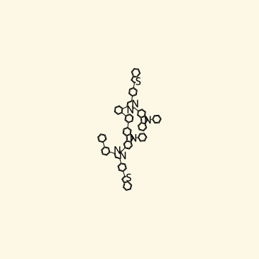 c1ccc(-c2cccc(-c3cc(-c4ccc(-c5cc6ccccc6s5)cc4)nc(-c4ccc5c(c4)c4ccc(-c6cccc(-c7ccccc7-c7cc(-c8ccc(-c9cc%10ccccc%10s9)cc8)nc(-c8ccc9c(c8)c8ccccc8n9-c8ccccc8)n7)c6)cc4n5-c4ccccc4)n3)c2)cc1